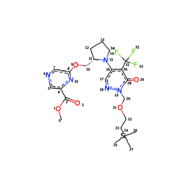 COC(=O)c1cncc(OC[C@@H]2CCCN2c2cnn(COCC[Si](C)(C)C)c(=O)c2C(F)(F)F)n1